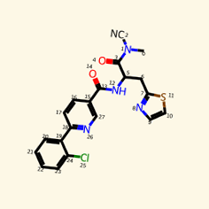 CN(C#N)C(=O)C(Cc1nccs1)NC(=O)c1ccc(-c2ccccc2Cl)nc1